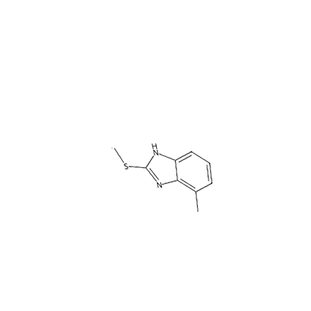 [CH2]Sc1nc2c(C)cccc2[nH]1